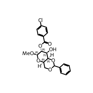 CO[C@@H]1O[C@@H]2COC(c3ccccc3)O[C@@H]2[C@H](O)[C@H]1OC(=O)c1ccc(Cl)cc1